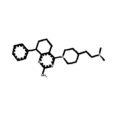 CN(C)CCC1CCN(c2nc(N)nc3c2CCCC3c2ccccc2)CC1